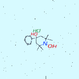 CC1(C)CC(O)(c2ccccc2)CC(C)(C)N1O.Cl